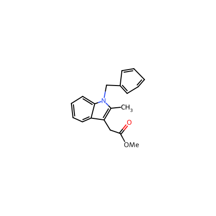 COC(=O)Cc1c(C)n(Cc2ccccc2)c2ccccc12